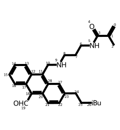 C=C(C)C(=O)NCCCNCc1c2ccccc2c(C=O)c2ccc(CCC(C)CC)cc12